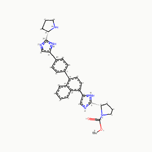 CC(C)(C)OC(=O)N1CCC[C@H]1c1ncc(-c2ccc(-c3ccc(-c4cnc([C@@H]5CCCN5)[nH]4)cc3)c3ccccc23)[nH]1